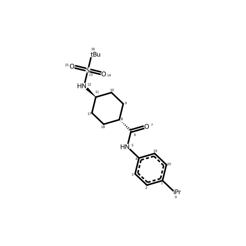 CC(C)c1ccc(NC(=O)[C@H]2CC[C@H](NS(=O)(=O)C(C)(C)C)CC2)cc1